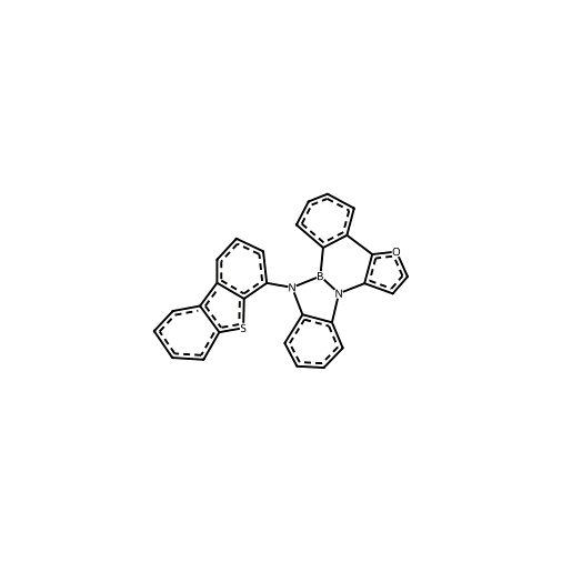 c1ccc2c(c1)B1N(c3ccccc3N1c1cccc3c1sc1ccccc13)c1ccoc1-2